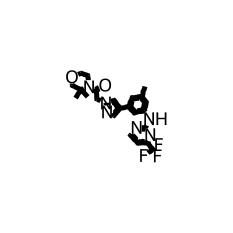 Cc1cc(Nc2nccc(C(F)(F)F)n2)cc(-c2cnn(CC(=O)N3CCOCC3(C)C)c2)c1